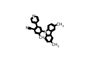 Cc1ccc2c(c1)c1cc(C)ccc1n2-c1cc(-c2ccncc2)c(C#N)cc1C